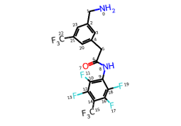 NCc1cc(CC(=O)Nc2c(F)c(F)c(C(F)(F)F)c(F)c2F)cc(C(F)(F)F)c1